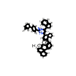 CC1(C)c2ccc3ccccc3c2-c2cccc(-c3ccc(-c4cc(-c5cccc6ccccc56)nc(-c5ccc(-c6ccccc6)cc5)n4)c4ccccc34)c21